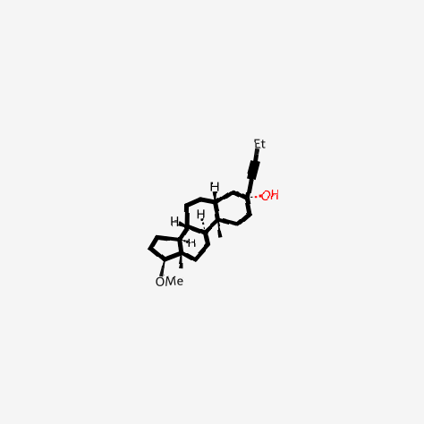 CCC#C[C@@]1(O)CC[C@@]2(C)[C@H](CC[C@@H]3[C@@H]2CC[C@]2(C)[C@@H](OC)CC[C@@H]32)C1